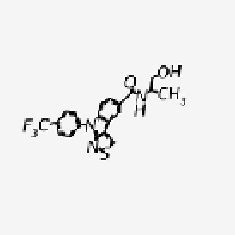 C[C@H](CO)NC(=O)c1ccc2c(c1)c1csnc1n2-c1ccc(C(F)(F)F)cc1